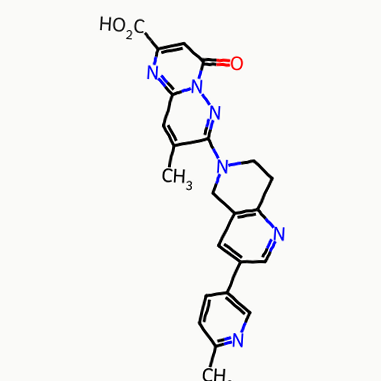 Cc1ccc(-c2cnc3c(c2)CN(c2nn4c(=O)cc(C(=O)O)nc4cc2C)CC3)cn1